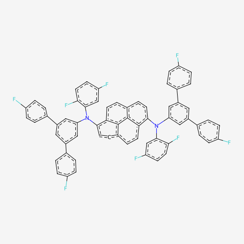 Fc1ccc(-c2cc(-c3ccc(F)cc3)cc(N(c3cc(F)ccc3F)c3ccc4ccc5c(N(c6cc(-c7ccc(F)cc7)cc(-c7ccc(F)cc7)c6)c6cc(F)ccc6F)ccc6ccc3c4c65)c2)cc1